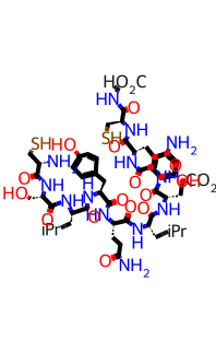 CC(C)C[C@H](NC(=O)[C@H](CCC(N)=O)NC(=O)[C@H](Cc1ccc(O)cc1)NC(=O)[C@H](CC(C)C)NC(=O)[C@H](CO)NC(=O)[C@@H](N)CS)C(=O)N[C@@H](CCC(=O)O)C(=O)N[C@@H](CC(N)=O)C(=O)N[C@@H](Cc1ccc(O)cc1)C(=O)N[C@@H](CS)C(=O)NCC(=O)O